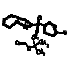 CC(C)(C)OC=O.O=S(=O)(c1ccc(F)cc1)c1c2c3ccccc3n1-2